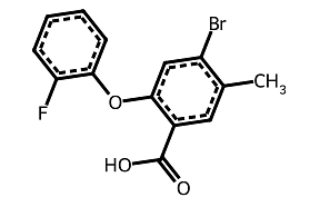 Cc1cc(C(=O)O)c(Oc2ccccc2F)cc1Br